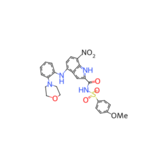 COc1ccc(S(=O)(=O)NC(=O)c2cc3c(Nc4ccccc4N4CCOCC4)ccc([N+](=O)[O-])c3[nH]2)cc1